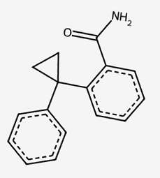 NC(=O)c1ccccc1C1(c2ccccc2)CC1